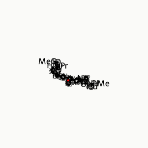 CCC(C)[C@H](NC(=O)OC)C(=O)N1CCCC1c1nc2ccc(-c3ccc(-c4ccc(-c5cnc([C@@H]6CCCN6C(=O)[C@@H](NC(=O)OC)C(C)C)[nH]5)cc4)c4c3C3CCC4O3)cc2[nH]1